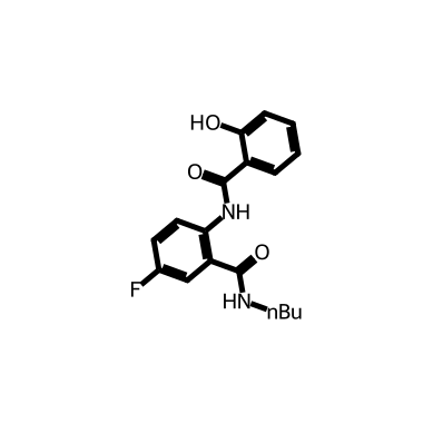 CCCCNC(=O)c1cc(F)ccc1NC(=O)c1ccccc1O